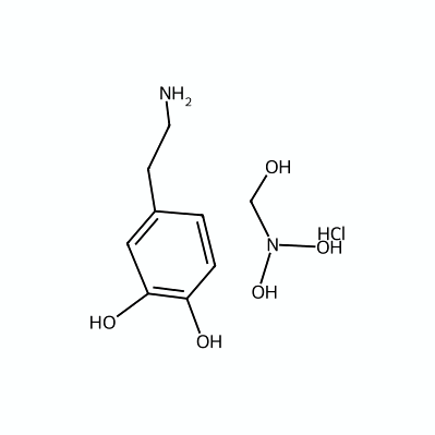 Cl.NCCc1ccc(O)c(O)c1.OCN(O)O